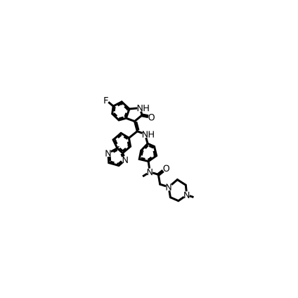 CN1CCN(CC(=O)N(C)c2ccc(N/C(=C3\C(=O)Nc4cc(F)ccc43)c3ccc4nccnc4c3)cc2)CC1